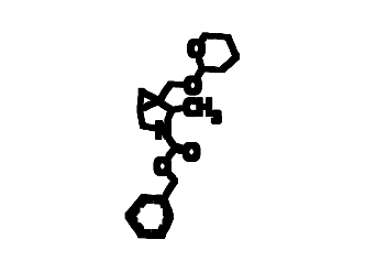 CC1N(C(=O)OCc2ccccc2)CC2CC21COC1CCCCO1